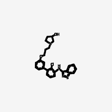 OC1CCN(CCCOc2cccc(-c3cccc(Nc4nsc5ccccc45)c3Cl)c2)C1